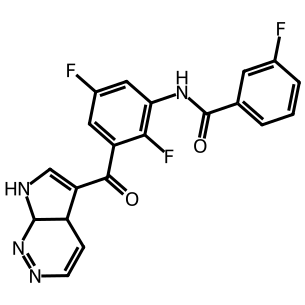 O=C(Nc1cc(F)cc(C(=O)C2=CNC3N=NC=CC23)c1F)c1cccc(F)c1